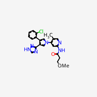 COCCC(=O)Nc1cc(-n2cc(-c3nc[nH]n3)c(-c3ccccc3Cl)c2)c(C)cn1